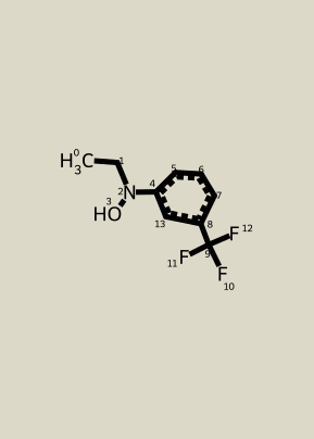 CCN(O)c1cccc(C(F)(F)F)c1